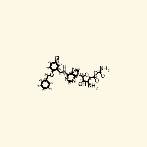 NC(=O)OC(=O)C1OC(n2cnc3c(NCc4cc(Cl)ccc4OCc4ccccc4)ncnc32)C(O)C1N